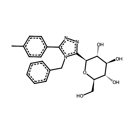 Cc1ccc(-c2nnc([C@@H]3O[C@H](CO)[C@@H](O)[C@H](O)[C@H]3O)n2Cc2ccccc2)cc1